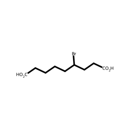 O=C(O)CCCCC(Br)CCC(=O)O